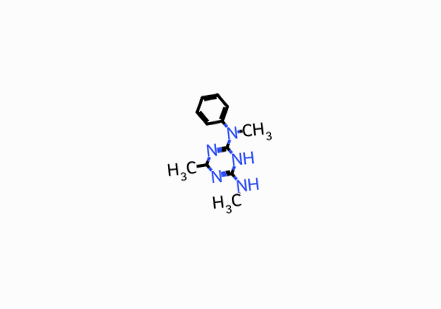 CNC1=NC(C)N=C(N(C)c2ccccc2)N1